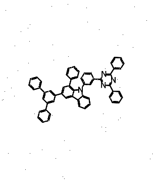 c1ccc(-c2cc(-c3ccccc3)cc(-c3cc(-c4ccccc4)c4c(c3)c3ccccc3n4-c3cccc(-c4nc(-c5ccccc5)nc(-c5ccccc5)n4)c3)c2)cc1